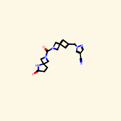 N#Cc1cnn(CC2CC3(C2)CN(C(=O)N2CC4(CCC(=O)N4)C2)C3)c1